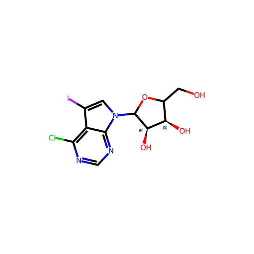 OCC1OC(n2cc(I)c3c(Cl)ncnc32)[C@H](O)[C@@H]1O